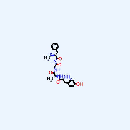 CN[C@@H](Cc1ccccc1)C(=O)NC(=O)CNC(=O)[C@@H](C)NC(=O)[C@@H](N)Cc1ccc(O)cc1